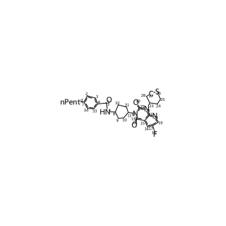 CCCCCc1ccc(C(=O)NC2CCC(n3c(=O)c4cc(F)cnc4n(C4CCSCC4)c3=O)CC2)cc1